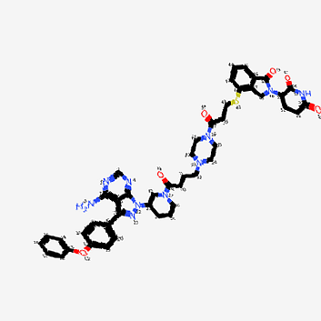 Nc1ncnc2c1c(-c1ccc(Oc3ccccc3)cc1)nn2C1CCCN(C(=O)CCCN2CCN(C(=O)CCSc3cccc4c3CN(C3CCC(=O)NC3=O)C4=O)CC2)C1